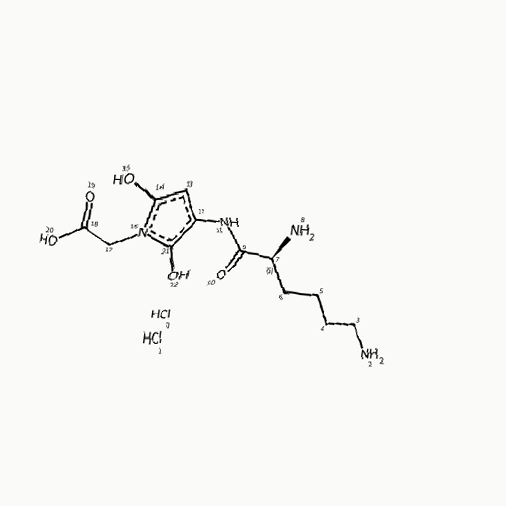 Cl.Cl.NCCCC[C@H](N)C(=O)Nc1cc(O)n(CC(=O)O)c1O